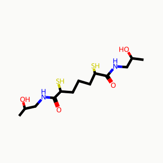 CC(O)CNC(=O)C(S)CCCC(S)C(=O)NCC(C)O